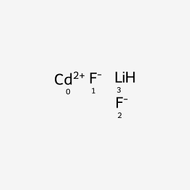 [Cd+2].[F-].[F-].[LiH]